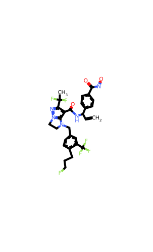 C=CC(NC(=O)c1c(C(C)(F)F)nn2c1N(Cc1ccc(CCCF)c(C(F)(F)F)c1)CC2)c1ccc(C(=O)N=O)cc1